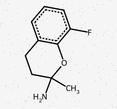 CC1(N)CCc2cccc(F)c2O1